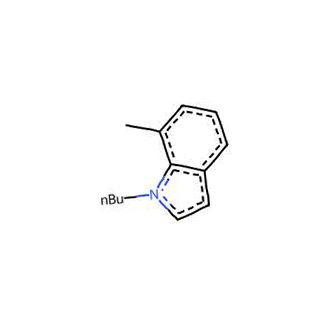 CCCCn1ccc2cccc(C)c21